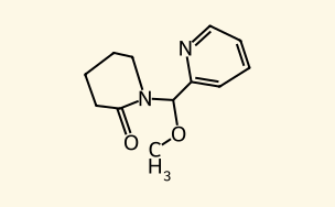 COC(c1ccccn1)N1CCCCC1=O